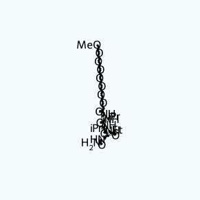 CCC(=O)[C@H](CCCNC(N)=O)NC(=O)[C@@H](NC(=O)[C@H](CNC(=O)CCOCCOCCOCCOCCOCCOCCOCCOC)NC(C)C)C(C)C